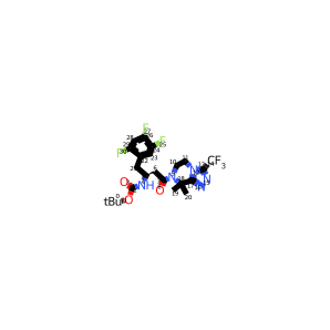 CC(C)(C)OC(=O)N[C@@H](CC(=O)N1CCn2c(C(F)(F)F)nnc2C1(C)C)Cc1cc(F)c(F)cc1F